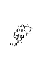 CCOC=O.Nc1cn(Cc2ccccc2)cn1